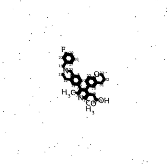 Cc1nc(C)c(-c2ccc3c(c2)CCN(Cc2cccc(F)c2)C3)c(-c2ccc3c(c2)CCCO3)c1CC(=O)O